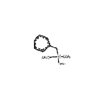 C[O][Hf]([CH2]c1ccccc1)([O]C)[O]C